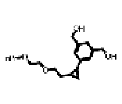 CCCOCCOCCC1CC1C1=CC(CO)CC(CO)=C1